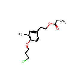 CCC(=O)OCCc1ccc(OCCCCl)c(C)c1